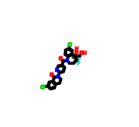 O=C1c2cc(Cl)ccc2CCN1c1ccc(C(=O)N2CCC(F)(F)[C@](O)(CO)c3cc(Cl)ccc32)cn1